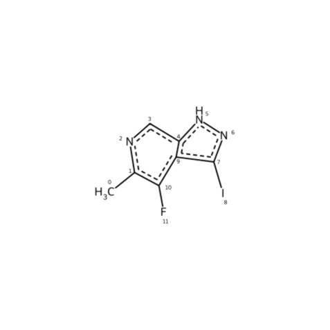 Cc1ncc2[nH]nc(I)c2c1F